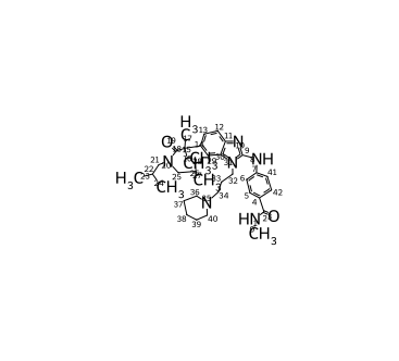 CNC(=O)c1ccc(Nc2nc3ccc(C(C)(C)C(=O)N(CC(C)C)CC(C)C)cc3n2CCCN2CCCCC2)cc1